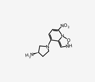 N[C@@H]1CCN(C2=CC=C([N+](=O)[O-])N3ONC=C23)C1